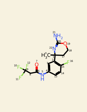 CC1(c2cc(NC(=O)CC(F)(F)F)ccc2F)CCOC(N)=N1